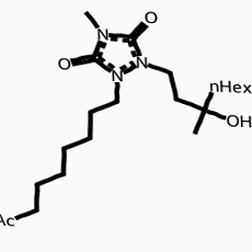 CCCCCCC(C)(O)CCn1c(=O)n(C)c(=O)n1CCCCCCCC(C)=O